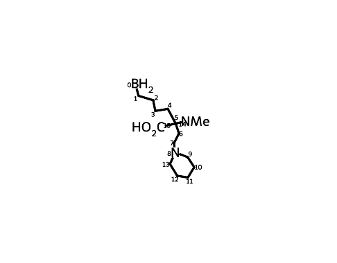 BCCCCC(CCN1CCCCC1)(NC)C(=O)O